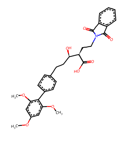 COc1cc(OC)c(-c2ccc(CC[C@@H](O)[C@@H](CCN3C(=O)c4ccccc4C3=O)C(=O)O)cc2)c(OC)c1